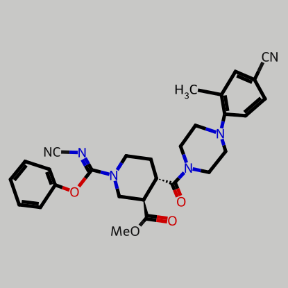 COC(=O)[C@H]1CN(/C(=N/C#N)Oc2ccccc2)CC[C@@H]1C(=O)N1CCN(c2ccc(C#N)cc2C)CC1